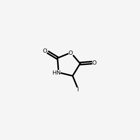 O=C1NC(I)C(=O)O1